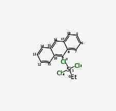 CC[Si](Cl)(Cl)Cl.c1ccc2cc3ccccc3cc2c1